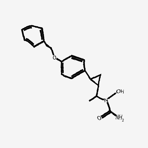 CC(C1CC1c1ccc(OCc2ccccc2)cc1)N(O)C(N)=O